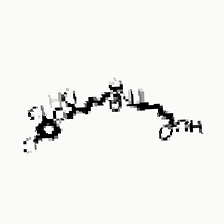 O=C(O)CCCC#CCNS(=O)(=O)CCCCC(O)COc1ccc(Cl)cc1Cl